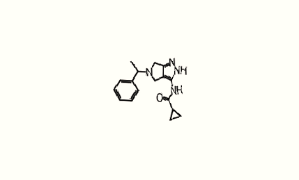 CC(c1ccccc1)N1Cc2n[nH]c(NC(=O)C3CC3)c2C1